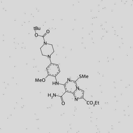 CCOC(=O)c1cn2c(SC)nc(Nc3ccc(N4CCN(C(=O)OC(C)(C)C)CC4)cc3OC)c(C(N)=O)c2n1